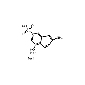 Nc1ccc2c(O)cc(S(=O)(=O)O)cc2c1.[NaH].[NaH]